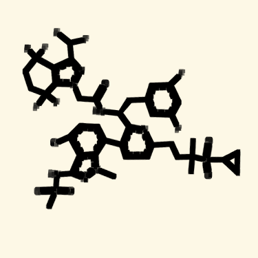 Cn1nc(NS(C)(=O)=O)c2c(Cl)ccc(-c3ccc(CCC(C)(C)S(=O)(=O)C4CC4)nc3[C@H](Cc3cc(F)cc(F)c3)NC(=O)Cn3nc(C(F)F)c4c3C(F)(F)CCC4(F)F)c21